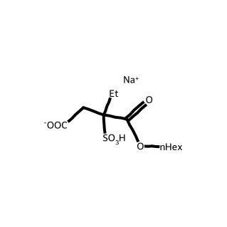 CCCCCCOC(=O)C(CC)(CC(=O)[O-])S(=O)(=O)O.[Na+]